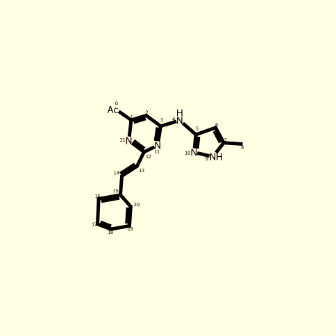 CC(=O)c1cc(Nc2cc(C)[nH]n2)nc(/C=C/c2ccccc2)n1